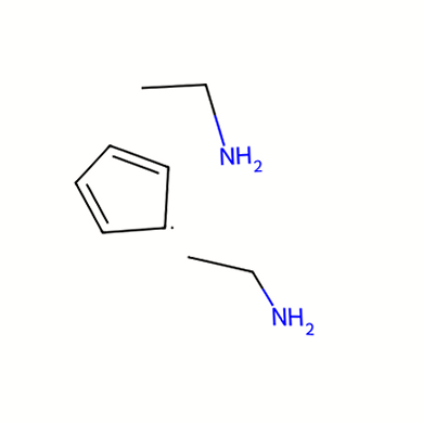 CCN.CCN.[CH]1C=CC=C1